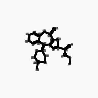 CCOC(=O)c1cc2c(s1)C(=O)Cc1ccccc1C2=C1CCN(C)CC1